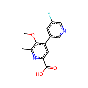 COc1c(-c2cncc(F)c2)cc(C(=O)O)nc1C